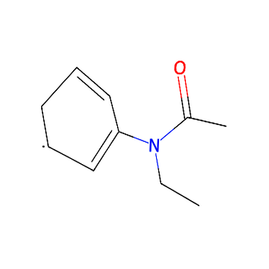 CCN(C(C)=O)C1=C[CH]CC=C1